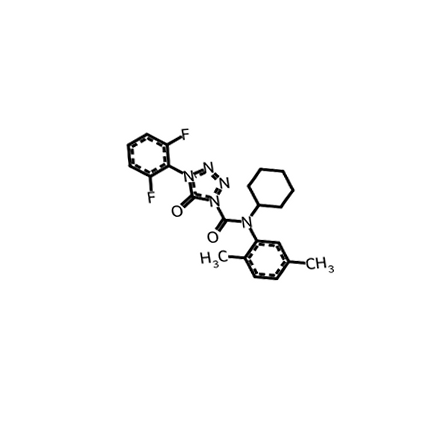 Cc1ccc(C)c(N(C(=O)n2nnn(-c3c(F)cccc3F)c2=O)C2CCCCC2)c1